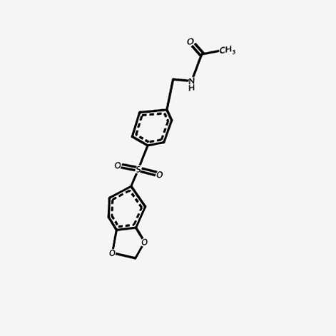 CC(=O)NCc1ccc(S(=O)(=O)c2ccc3c(c2)OCO3)cc1